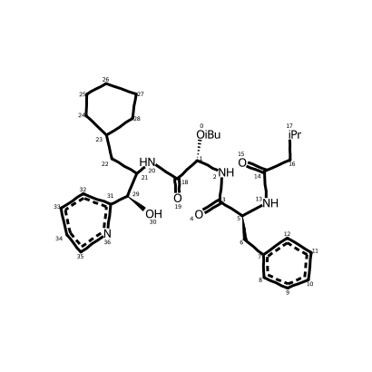 CC(C)CO[C@H](NC(=O)[C@H](Cc1ccccc1)NC(=O)CC(C)C)C(=O)NC(CC1CCCCC1)[C@@H](O)c1ccccn1